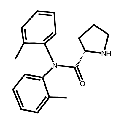 Cc1ccccc1N(C(=O)[C@@H]1CCCN1)c1ccccc1C